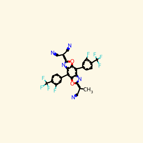 C/C(C#N)=c1\nc2c(-c3ccc(C(F)(F)F)c(F)c3)c3oc(=C(C#N)C#N)nc3c(-c3ccc(C(F)(F)F)c(F)c3)c2o1